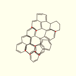 c1ccc(-c2cccc3cccc(-c4ccccc4N(c4ccccc4-c4cccc5cccc(C6CCCCC6)c45)c4ccccc4-c4cccc5oc6ccccc6c45)c23)cc1